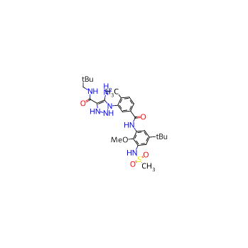 COc1c(NC(=O)c2ccc(C)c(N3NNC(C(=O)NCC(C)(C)C)=C3N)c2)cc(C(C)(C)C)cc1NS(C)(=O)=O